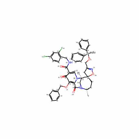 C[C@H]1CC[C@]2(CC(CO[Si](c3ccccc3)(c3ccccc3)C(C)(C)C)=NO2)[C@H]2CN1C(=O)c1c(OCc3ccccc3)c(=O)c(C(=O)NCc3ccc(F)cc3F)cn12